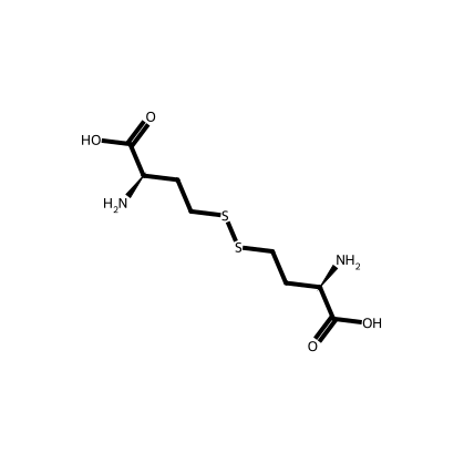 N[C@H](CCSSCC[C@@H](N)C(=O)O)C(=O)O